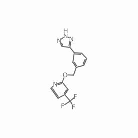 FC(F)(F)c1ccnc(OCc2cccc(-c3cn[nH]n3)c2)c1